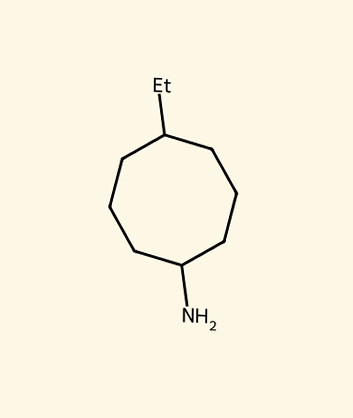 CCC1CCCC(N)CCC1